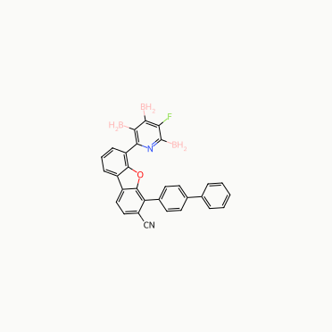 Bc1nc(-c2cccc3c2oc2c(-c4ccc(-c5ccccc5)cc4)c(C#N)ccc23)c(B)c(B)c1F